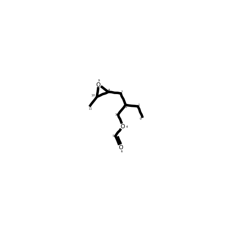 CCC(COC=O)CC1OC1C